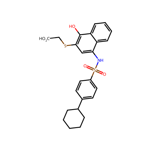 O=C(O)CSc1cc(NS(=O)(=O)c2ccc(C3CCCCC3)cc2)c2ccccc2c1O